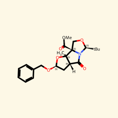 COC(=O)[C@@]12CO[C@@H](C(C)(C)C)N1C(=O)[C@@H]1C[C@@H](OCc3ccccc3)O[C@@]12C